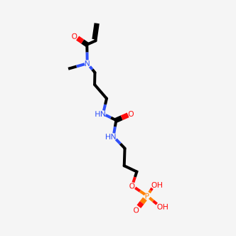 C=CC(=O)N(C)CCCNC(=O)NCCCOP(=O)(O)O